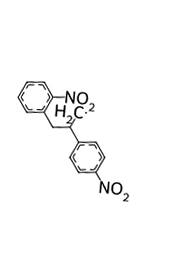 [CH2]C(Cc1ccccc1[N+](=O)[O-])c1ccc([N+](=O)[O-])cc1